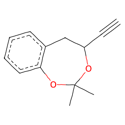 C#CC1Cc2ccccc2OC(C)(C)O1